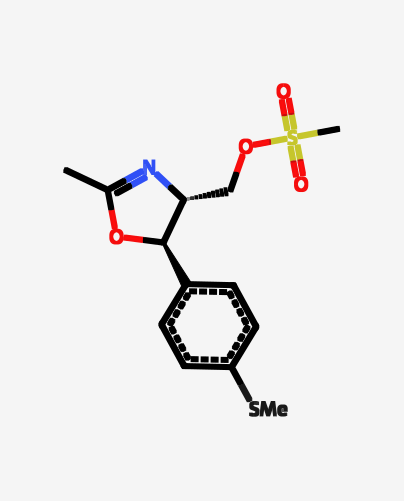 CSc1ccc([C@H]2OC(C)=N[C@@H]2COS(C)(=O)=O)cc1